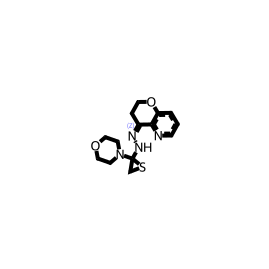 c1cnc2c(c1)OCC/C2=N/NC1(N2CCOCC2)CS1